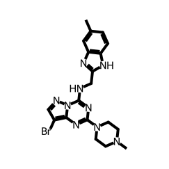 Cc1ccc2[nH]c(CNc3nc(N4CCN(C)CC4)nc4c(Br)cnn34)nc2c1